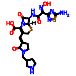 Nc1nc(C(=NO)C(=O)N[C@@H]2C(=O)N3C(C(=O)O)=C(C=C4CCN(CC5CCNC5)C4=O)CS[C@H]23)ns1